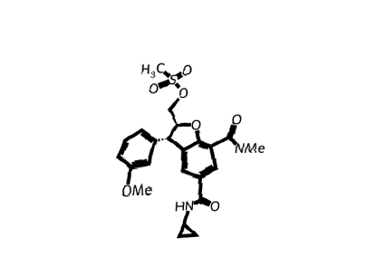 CNC(=O)c1cc(C(=O)NC2CC2)cc2c1O[C@H](COS(C)(=O)=O)[C@H]2c1cccc(OC)c1